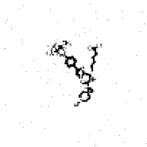 CCC(=O)CCCCC[C@H](NC(=O)[C@H]1CC12CCN(CC)CC2)c1ncc(-c2ccc(B3OC(C)(C)C(C)(C)O3)cc2)o1